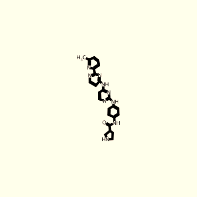 Cc1cccc(-c2nccc(Nc3ccnc(Nc4ccc(NC(=O)C5CCNC5)cc4)n3)n2)n1